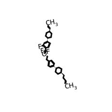 C/C=C/CC[C@H]1CC[C@H](c2ccc(CCOC(F)(F)c3ccc([C@H]4CC[C@H](/C=C/C)CC4)cc3F)cc2)CC1